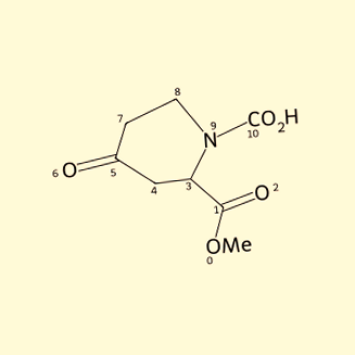 COC(=O)C1CC(=O)CCN1C(=O)O